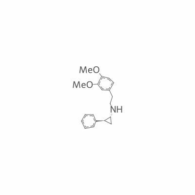 COc1ccc(CCN[C@@H]2C[C@H]2c2ccccc2)cc1OC